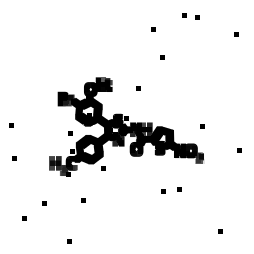 CCOc1cc(-c2sc(NC(=O)c3ccc([N+](=O)[O-])s3)nc2-c2ccc(C)cc2)ccc1Br